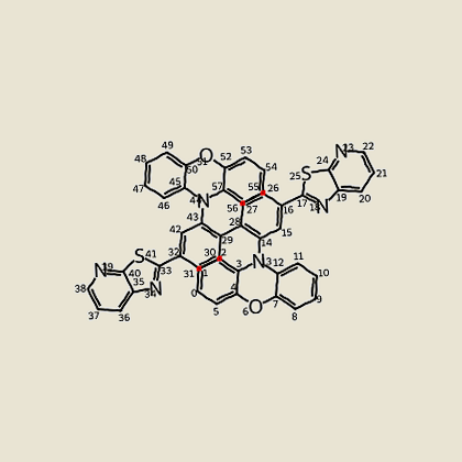 c1ccc2c(c1)Oc1ccccc1N2c1cc(-c2nc3cccnc3s2)ccc1-c1ccc(-c2nc3cccnc3s2)cc1N1c2ccccc2Oc2ccccc21